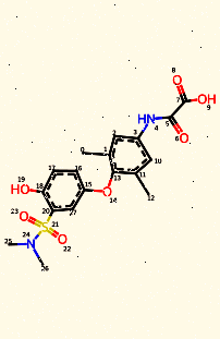 Cc1cc(NC(=O)C(=O)O)cc(C)c1Oc1ccc(O)c(S(=O)(=O)N(C)C)c1